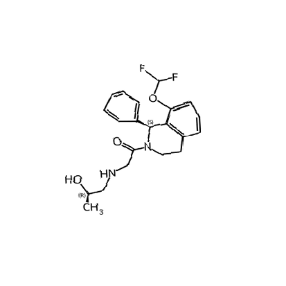 C[C@@H](O)CNCC(=O)N1CCc2cccc(OC(F)F)c2[C@@H]1c1ccccc1